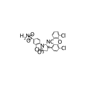 Cc1cc(S(N)(=O)=O)ccc1N1C[C@@H](c2ccc(Cl)c(Oc3c(Cl)cccc3C#N)c2)CC1=O